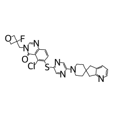 O=c1c2c(Cl)c(Sc3cnc(N4CCC5(CC4)Cc4cccnc4C5)cn3)ccc2ncn1CC1(F)COC1